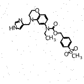 CCN(C(=O)OCc1ccc(S(C)(=O)=O)cc1)c1ccc2c(c1)N(Cc1c[nH]cn1)CCO2